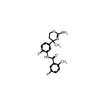 Cc1ccc(F)cc1C(=O)Nc1cc(C2(C)CCSC(N)=N2)ccc1F